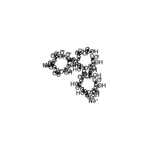 O=P1(O)OP(=O)(O)OP(=O)(O)OP(=O)(O)OP(=O)(O)OP(=O)(O)O1.O=P1(O)OP(=O)(O)OP(=O)(O)OP(=O)(O)OP(=O)(O)OP(=O)(O)O1.O=P1([O-])OP(=O)([O-])OP(=O)([O-])OP(=O)(O)OP(=O)(O)OP(=O)([O-])O1.[Na+].[Na+].[Na+].[Na+]